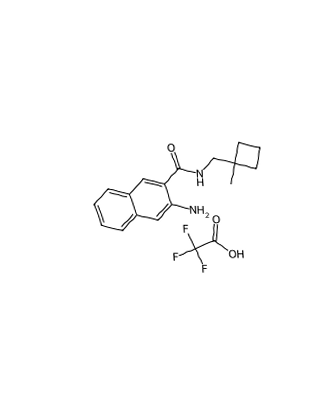 CC1(CNC(=O)c2cc3ccccc3cc2N)CCC1.O=C(O)C(F)(F)F